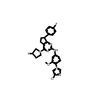 COc1cc(Nc2nc3c(c(N4CCC(F)C4)n2)CCC3c2ccc(F)cc2)ccc1-n1cnc(Cl)c1